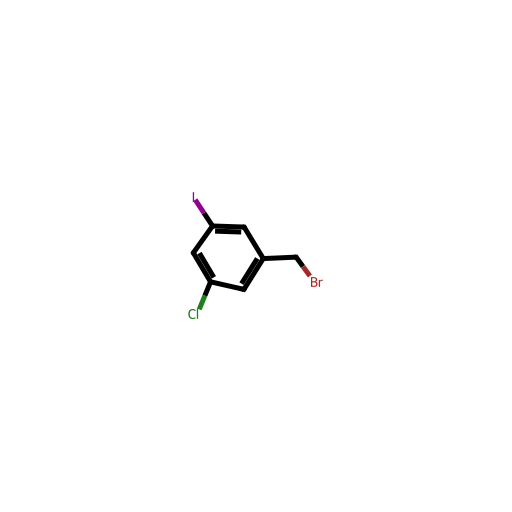 Clc1cc(I)cc(CBr)c1